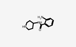 Nc1ccccc1C(=O)NC1CCNCC1